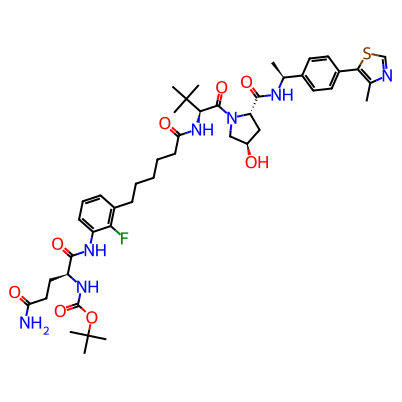 Cc1ncsc1-c1ccc([C@H](C)NC(=O)[C@@H]2C[C@@H](O)CN2C(=O)[C@@H](NC(=O)CCCCCc2cccc(NC(=O)[C@H](CCC(N)=O)NC(=O)OC(C)(C)C)c2F)C(C)(C)C)cc1